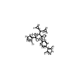 CC1=NCC(C)=C1c1ccc(NC(=O)[C@@H](NC(=O)c2ccnn2C)C(C2CC2)C2CC2)nn1